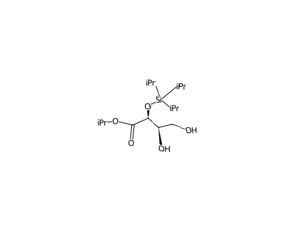 CC(C)OC(=O)[C@@H](O[Si](C(C)C)(C(C)C)C(C)C)[C@H](O)CO